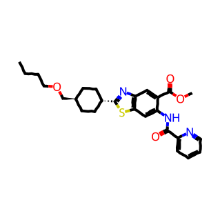 CCCCOC[C@H]1CC[C@H](c2nc3cc(C(=O)OC)c(NC(=O)c4ccccn4)cc3s2)CC1